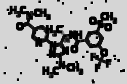 C[C@H](NC(=O)c1cc(OC(F)(F)F)cc(S(C)(=O)=O)c1)c1nc(N(C)C)nn1-c1ccc(C(=O)N(C)C)cn1